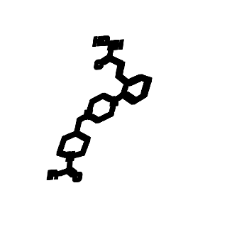 CC(C)C(=O)N1CCC(CN2CCN(c3ccccc3C=CC(=O)NO)CC2)CC1